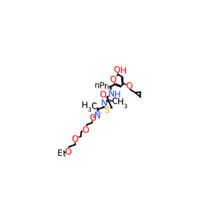 CCC[C@@H](NC(=O)[C@]1(C)CSC(/C(C)=N/OCCOCCOCCOCC)=N1)C1=CC(OCC2CC2)=CC(O)O1